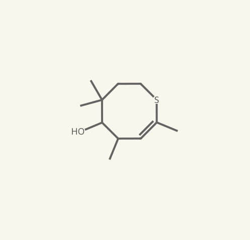 C/C1=C/C(C)C(O)C(C)(C)CCS1